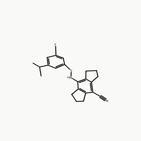 CC(C)c1cc(F)cc(SNc2c3c(c(C#N)c4c2CCC4)CCC3)c1